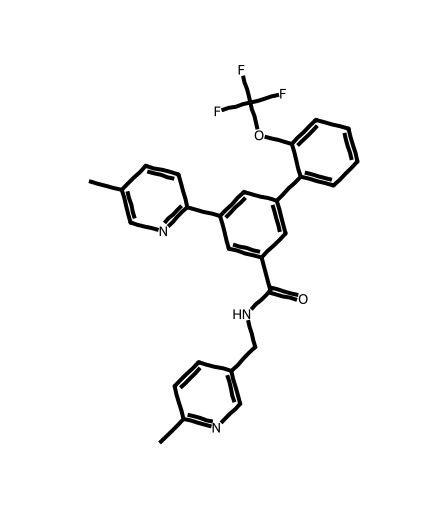 Cc1ccc(-c2cc(C(=O)NCc3ccc(C)nc3)cc(-c3ccccc3OC(F)(F)F)c2)nc1